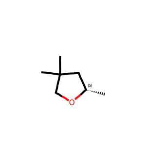 C[C@H]1CC(C)(C)CO1